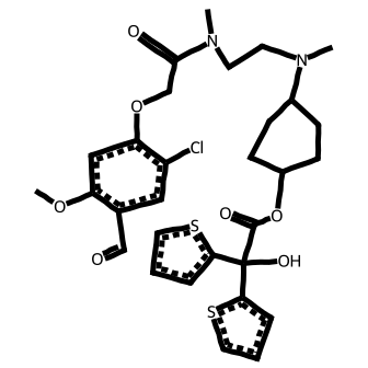 COc1cc(OCC(=O)N(C)CCN(C)C2CCC(OC(=O)C(O)(c3cccs3)c3cccs3)CC2)c(Cl)cc1C=O